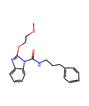 COCCOc1nc2ccccc2n1C(=O)NCCCc1ccccc1